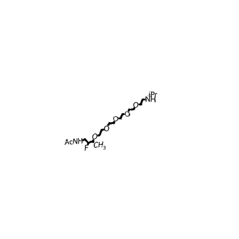 CC(=O)NCC(F)C(C)OCCOCCOCCOCCOCCNC(C)C